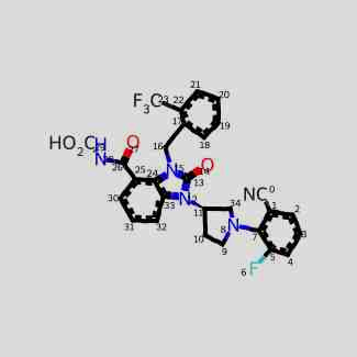 N#Cc1cccc(F)c1N1CC[C@@H](n2c(=O)n(Cc3ccccc3C(F)(F)F)c3c(C(=O)NC(=O)O)cccc32)C1